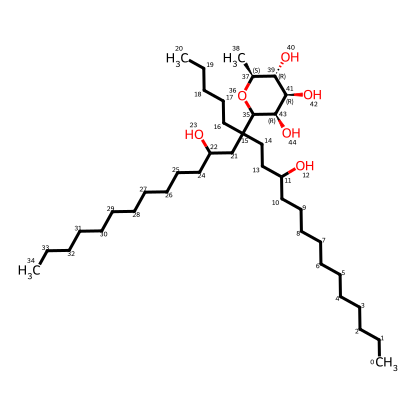 CCCCCCCCCCCC(O)CCC(CCCCC)(CC(O)CCCCCCCCCCC)C1O[C@@H](C)[C@H](O)[C@@H](O)[C@H]1O